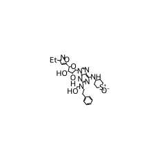 CCc1cc([C@H]2O[C@@H](n3cnc4c(NC5CC[S+]([O-])CC5)nc(N(CO)CCc5ccccc5)nc43)[C@H](O)[C@@H]2O)on1